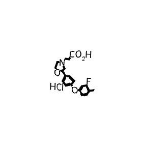 Cc1ccc(Oc2ccc(C3CN(CCC(=O)O)CCO3)cc2)cc1F.Cl